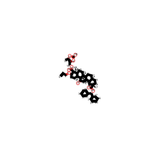 C=CCO[C@H]1CC[C@]2(C)C3C(=O)C=C4[C@@H]5C[C@@](C)(C(=O)OC(c6ccccc6)c6ccccc6)CC[C@]5(C)CC[C@@]4(C)[C@]3(C)CC[C@H]2[C@]1(C)C(=O)OCc1oc(=O)oc1C